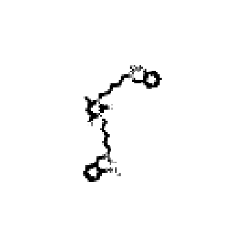 CCN(CCCCCn1c(C)cc(=O)n(CCCCCN(CC)Cc2ccccc2[N+](=O)[O-])c1=O)Cc1ccccc1[N+](=O)[O-]